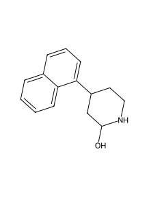 OC1CC(c2cccc3ccccc23)CCN1